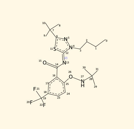 CCCCn1nc(C(C)(C)C)s/c1=N\C(=O)c1cc(C(F)(F)F)ccc1ONC(C)(C)C